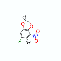 [2H]c1c(F)cc2c(c1[N+](=O)[O-])OCC1(CC1)O2